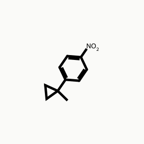 CC1(c2ccc([N+](=O)[O-])cc2)CC1